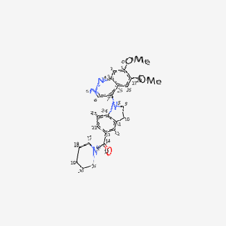 COc1cc2nncc(N3CCc4cc(C(=O)N5CCCCC5)ccc43)c2cc1OC